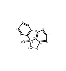 O=P1(c2ccccc2)OCc2ccccc21